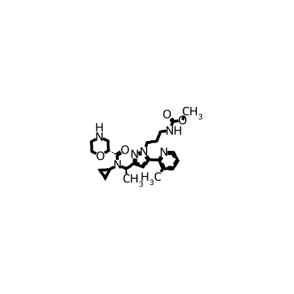 COC(=O)NCCCn1nc([C@@H](C)N(C(=O)[C@H]2CNCCO2)C2CC2)cc1-c1ncccc1C